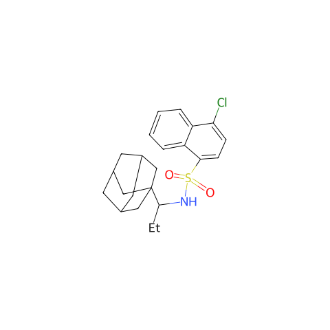 CCC(NS(=O)(=O)c1ccc(Cl)c2ccccc12)C12CC3CC(CC(C3)C1)C2